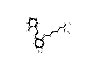 CN(C)CCCCOc1ccccc1C=Cc1ccccc1Cl.Cl